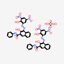 O=C(Nc1ccccc1)c1cc2ccccc2c(N=Nc2cc([N+](=O)[O-])cc([N+](=O)[O-])c2O)c1O.O=C(Nc1ccccc1)c1cc2ccccc2c(N=Nc2cc([N+](=O)[O-])cc([N+](=O)[O-])c2O)c1O.[O]=[Cr](=[O])([OH])[OH]